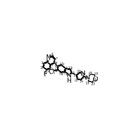 Fc1ccc2nccc(-c3cc4cc(-c5ccc(N6CCOCC6)nc5)[nH]c4cc3Cl)c2c1